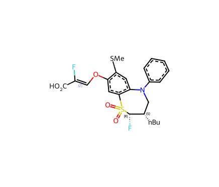 CCCC[C@H]1CN(c2ccccc2)c2cc(SC)c(O/C=C(\F)C(=O)O)cc2S(=O)(=O)[C@H]1F